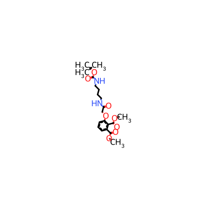 COC(=O)c1cccc(OCC(=O)NCCCCNC(=O)OC(C)(C)C)c1C(=O)OC